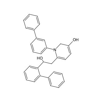 OC1=CC=C(CC(O)c2ccccc2-c2ccccc2)N(c2cccc(-c3ccccc3)c2)C1